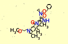 COCCCn1cc(C)c2ccc(C(=O)N(C[C@@H]3CNC[C@H]3CN(C(=O)OCc3ccccc3)C3CC3)C(C)C)cc21